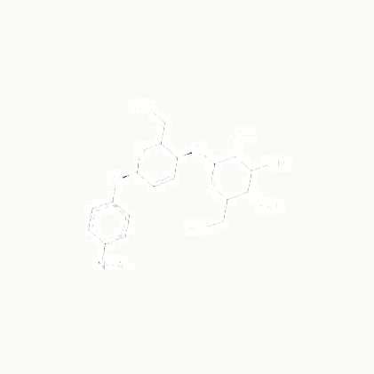 CC(=O)Nc1ccc(O[C@@H]2C=C[C@H](OC3OC(CO)[C@@H](O)C(O)[C@H]3O)C(CO)O2)cc1